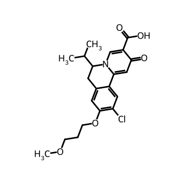 COCCCOc1cc2c(cc1Cl)-c1cc(=O)c(C(=O)O)cn1C(C(C)C)C2